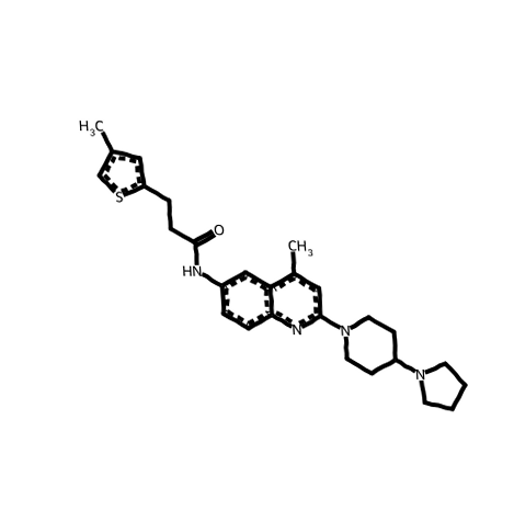 Cc1csc(CCC(=O)Nc2ccc3nc(N4CCC(N5CCCC5)CC4)cc(C)c3c2)c1